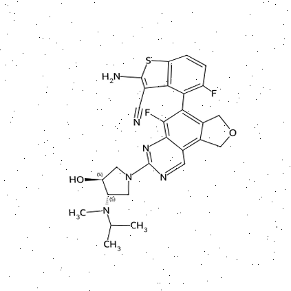 CC(C)N(C)[C@H]1CN(c2ncc3c4c(c(-c5c(F)ccc6sc(N)c(C#N)c56)c(F)c3n2)COC4)C[C@@H]1O